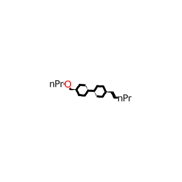 CCCC=C[C@H]1CC[C@H]([C@H]2CC[C@H](COCCC)CC2)CC1